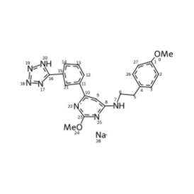 COc1ccc(CCNc2cc(-c3cccc(-c4nnn[nH]4)c3)nc(OC)n2)cc1.[Na]